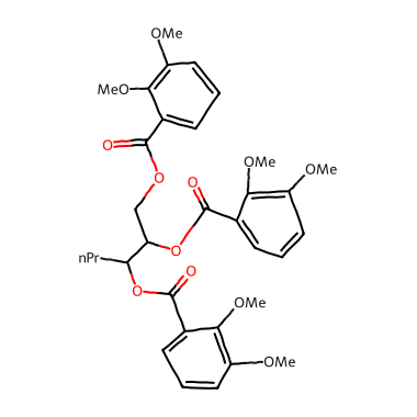 CCCC(OC(=O)c1cccc(OC)c1OC)C(COC(=O)c1cccc(OC)c1OC)OC(=O)c1cccc(OC)c1OC